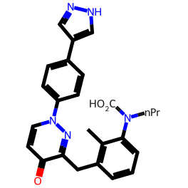 CCCN(C(=O)O)c1cccc(Cc2nn(-c3ccc(-c4cn[nH]c4)cc3)ccc2=O)c1C